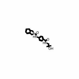 CC(C)(O)CNC(=O)c1ccc(NC(=O)N2Cc3ccccc3C2)cc1